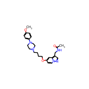 COc1ccc(N2CCN(CCCCOc3ccn4ncc(CNC(C)=O)c4c3)CC2)cc1